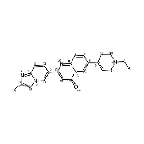 CCN1CC=C(c2ccc3nc(-c4ccc5nc(C)cn5c4)cc(=O)n3c2)CC1